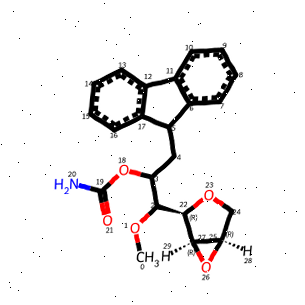 COC(C(CC1c2ccccc2-c2ccccc21)OC(N)=O)[C@H]1OC[C@H]2O[C@@H]12